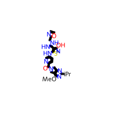 COc1nc(C(C)C)nc2c1CN(C(=O)c1ccc(Nc3snc(O)c3C(=N)NCc3ncco3)cn1)C2